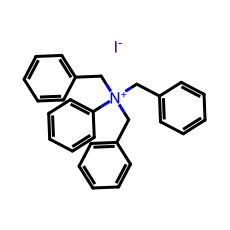 [I-].c1ccc(C[N+](Cc2ccccc2)(Cc2ccccc2)c2ccccc2)cc1